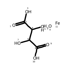 O.O=C(O)C(O)C(O)C(=O)O.[Fe]